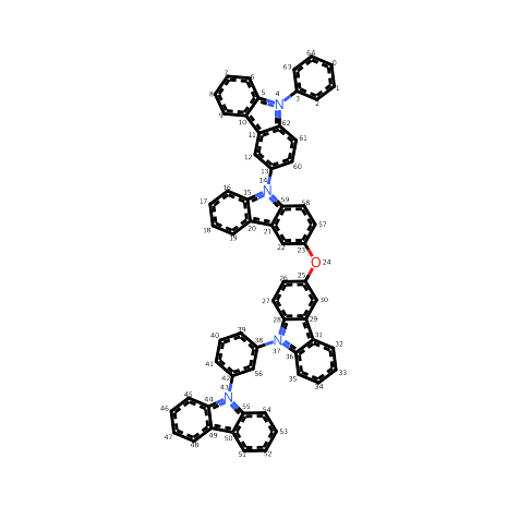 c1ccc(-n2c3ccccc3c3cc(-n4c5ccccc5c5cc(Oc6ccc7c(c6)c6ccccc6n7-c6cccc(-n7c8ccccc8c8ccccc87)c6)ccc54)ccc32)cc1